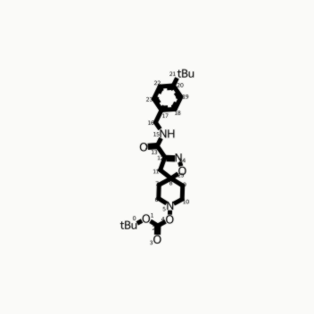 CC(C)(C)OC(=O)ON1CCC2(CC1)CC(C(=O)NCc1ccc(C(C)(C)C)cc1)=NO2